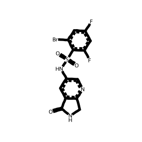 O=C1NCc2ncc(NS(=O)(=O)c3c(F)cc(F)cc3Br)cc21